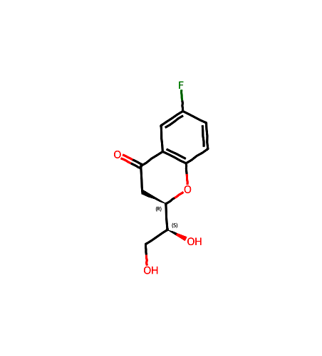 O=C1C[C@H]([C@@H](O)CO)Oc2ccc(F)cc21